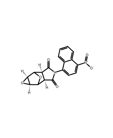 O=C1[C@@H]2C3OC([C@H]4O[C@@H]34)[C@@H]2C(=O)N1c1ccc([N+](=O)[O-])c2ccccc12